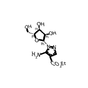 CCOC(=O)c1cnn([C@@H]2O[C@H](CO)[C@@H](O)[C@H]2O)c1N